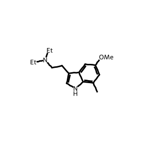 CCN(CC)CCc1c[nH]c2c(C)cc(OC)cc12